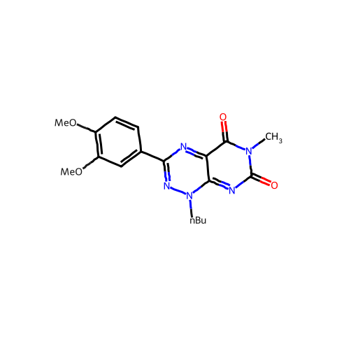 CCCCn1nc(-c2ccc(OC)c(OC)c2)nc2c(=O)n(C)c(=O)nc1-2